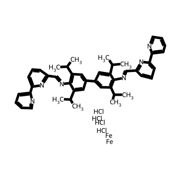 CC(C)c1cc(-c2cc(C(C)C)c(N=Cc3cccc(-c4ccccn4)n3)c(C(C)C)c2)cc(C(C)C)c1N=Cc1cccc(-c2ccccn2)n1.Cl.Cl.Cl.Cl.[Fe].[Fe]